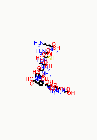 CC(N)C(=O)O.CC(O)C(N)C(=O)O.CC(O)C(N)C(=O)O.NC(CO)C(=O)O.NC(CS)C(=O)O.NC(Cc1ccccc1)C(=O)O.NCC(=O)O.NCC(=O)O.NCCCCC(N)C(=O)O.O=C(O)[C@@H]1CCCN1